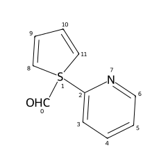 O=CS1(c2ccccn2)C=CC=C1